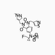 Cn1cc(Cn2c(=O)c3cc(N([SH](=O)=O)C4(CF)CC4)ccc3n(Cc3cnsc3)c2=O)cn1